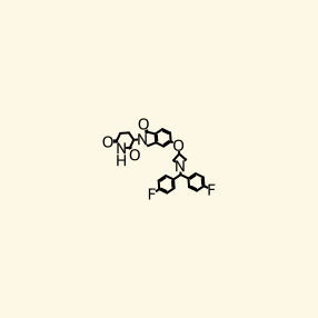 O=C1CCC(N2Cc3cc(OC4CN(C(c5ccc(F)cc5)c5ccc(F)cc5)C4)ccc3C2=O)C(=O)N1